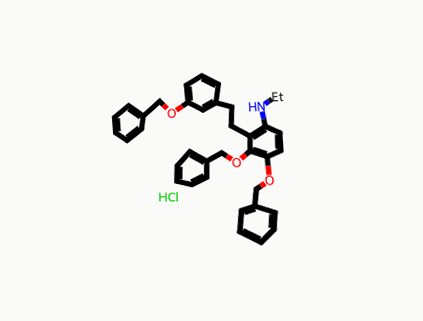 CCNc1ccc(OCc2ccccc2)c(OCc2ccccc2)c1CCc1cccc(OCc2ccccc2)c1.Cl